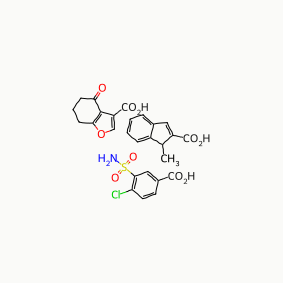 CC1C(C(=O)O)=Cc2ccccc21.NS(=O)(=O)c1cc(C(=O)O)ccc1Cl.O=C(O)c1coc2c1C(=O)CCC2